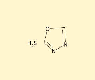 S.c1nnco1